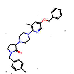 Cc1ccc(CN2CCC(N3CCN(c4ncc(OCc5ccccc5)cc4C)CC3)C2=O)cc1